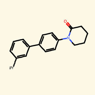 CC(C)c1cccc(-c2ccc(N3CCCCC3=O)cc2)c1